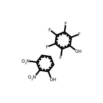 O=[N+]([O-])c1cccc(O)c1[N+](=O)[O-].Oc1c(F)c(F)c(F)c(F)c1F